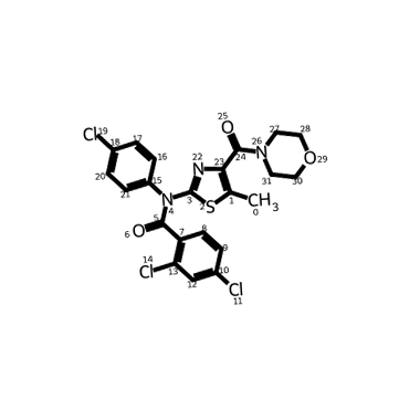 Cc1sc(N(C(=O)c2ccc(Cl)cc2Cl)c2ccc(Cl)cc2)nc1C(=O)N1CCOCC1